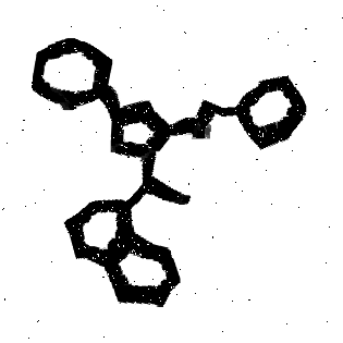 O=C(c1cccc2ccccc12)n1nc(-c2ccccn2)cc1NCc1ccccc1